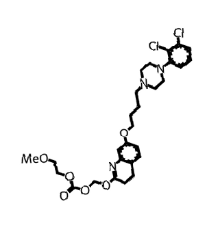 COCCOC(=O)OCOC1=Nc2cc(OCCCCN3CCN(c4cccc(Cl)c4Cl)CC3)ccc2CC1